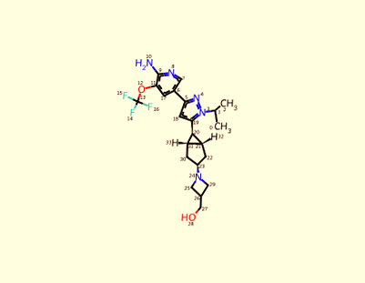 CC(C)n1nc(-c2cnc(N)c(OC(F)(F)F)c2)cc1[C@H]1[C@@H]2C[C@@H](N3CC(CO)C3)C[C@@H]21